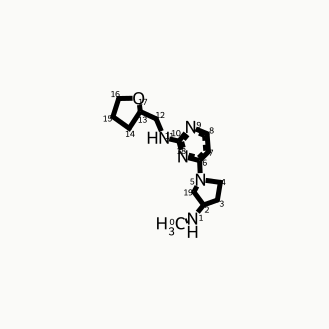 CNC1CCN(c2ccnc(NCC3CCCO3)n2)C1